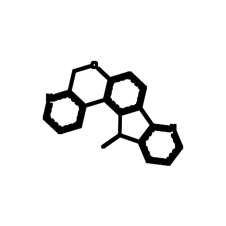 CC1c2cccnc2-c2ccc3c(c21)-c1cccnc1CO3